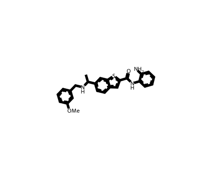 COc1cccc(CNC(C)c2ccc3cc(C(=O)Nc4ccccc4N)sc3c2)c1